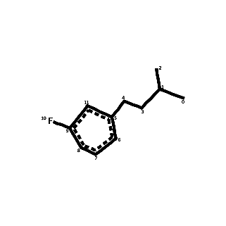 CC(C)CCc1[c]ccc(F)c1